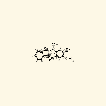 Cc1cc(C2CC2)c(C(O)c2cc3ccccc3s2)cc1Br